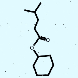 CC(C)CCC(=O)OC1CCCCC1